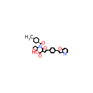 C[C@H]1CC[C@H](C(=O)N(c2oc(-c3ccc(-c4cc5ncccc5o4)cc3)cc2C(=O)O)C2CCOC2)CC1